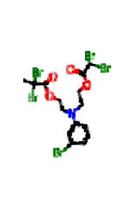 CC(Br)(Br)C(=O)OCCN(CCOC(=O)C(Br)Br)c1cccc(Br)c1